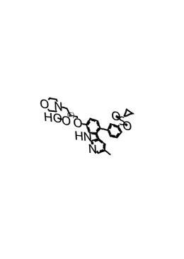 Cc1cnc2[nH]c3c(OC[C@H](CN4CCOCC4)OO)ccc(-c4cccc(S(=O)(=O)C5CC5)c4)c3c2c1